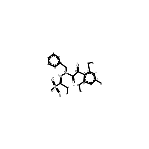 CCC(=NN(Cc1ccccc1)C(=O)C(=O)c1c(CC)cc(C)cc1CC)S(C)(=O)=O